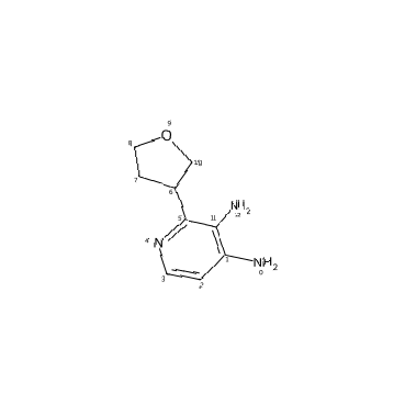 Nc1ccnc(C2CCOC2)c1N